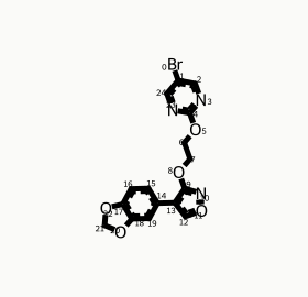 Brc1cnc(OCCOc2no[c]c2-c2ccc3c(c2)OCO3)nc1